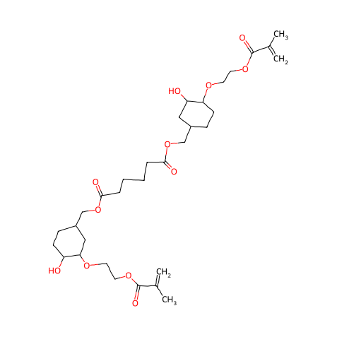 C=C(C)C(=O)OCCOC1CCC(COC(=O)CCCCC(=O)OCC2CCC(O)C(OCCOC(=O)C(=C)C)C2)CC1O